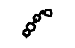 [c]1ccc2c(c1)CCC(N1CCC(CN3CCCCC3)CC1)CC2